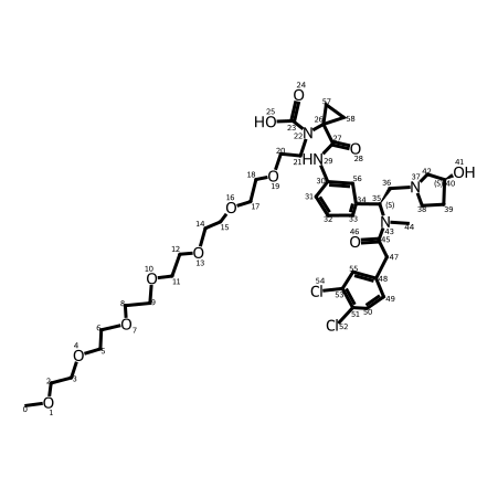 COCCOCCOCCOCCOCCOCCOCCN(C(=O)O)C1(C(=O)Nc2cccc([C@@H](CN3CC[C@H](O)C3)N(C)C(=O)Cc3ccc(Cl)c(Cl)c3)c2)CC1